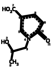 CC(O)Cn1cc(C(=O)O)ccc1=O